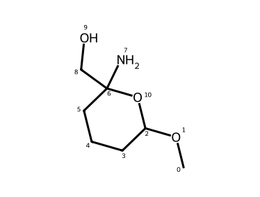 COC1CCCC(N)(CO)O1